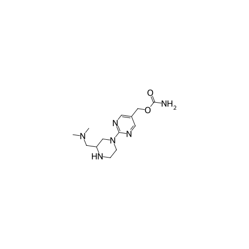 CN(C)CC1CN(c2ncc(COC(N)=O)cn2)CCN1